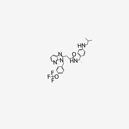 CC(C)CNc1ccc([C@H](C)NC(=O)CCc2nc3cccnc3n2Cc2ccc(OC(F)(F)F)cc2)cc1